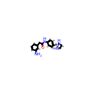 Nc1cccc(CC(=O)Nc2ccc([As]3NCCN3)cc2)c1